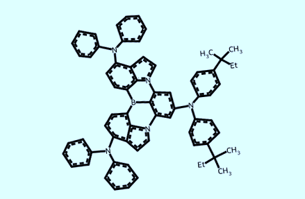 CCC(C)(C)c1ccc(N(c2ccc(C(C)(C)CC)cc2)c2cc3c4c(c2)-n2ccc5c(N(c6ccccc6)c6ccccc6)ccc(c52)B4c2ccc(N(c4ccccc4)c4ccccc4)c4ccn-3c24)cc1